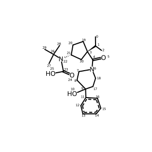 CC(C)[C@]1(C(=O)N2CCC(O)(c3ccccc3)CC2)CC[C@@H](N(C(=O)O)C(C)(C)C)C1